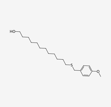 COc1ccc(CSCCCCCCCCCCCCO)cc1